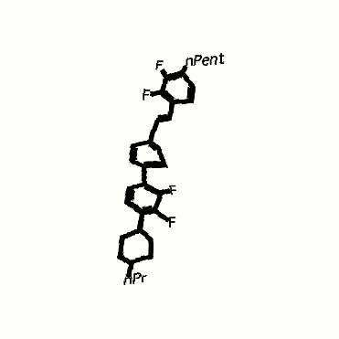 CCCCCc1ccc(/C=C/c2ccc(-c3ccc(C4CCC(CCC)CC4)c(F)c3F)cc2)c(F)c1F